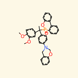 COc1ccc(C(C)(c2ccc(N3COc4ccccc4C3)cc2)P2(=O)Oc3ccccc3-c3ccccc32)cc1OC